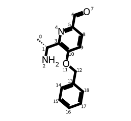 C[C@@H](N)c1nc(C=O)ccc1OCc1ccccc1